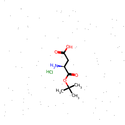 CC(C)(C)OC(=O)[C@@H](N)CC(=O)O.Cl